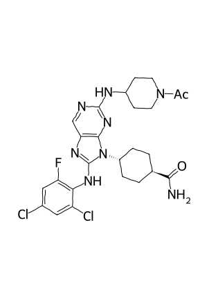 CC(=O)N1CCC(Nc2ncc3nc(Nc4c(F)cc(Cl)cc4Cl)n([C@H]4CC[C@H](C(N)=O)CC4)c3n2)CC1